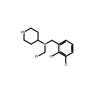 CC(C)CN(Cc1cccc(Cl)c1Cl)C1CCNCC1